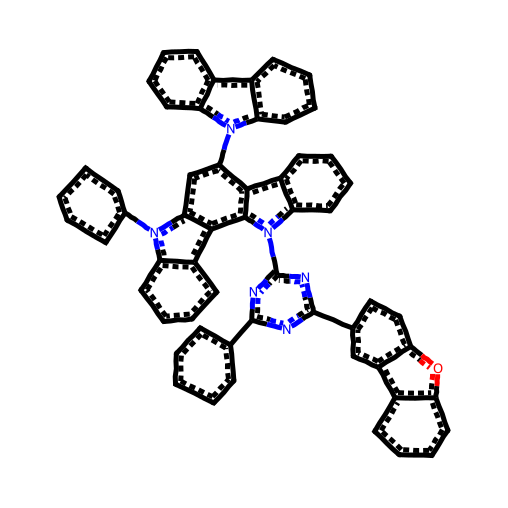 c1ccc(-c2nc(-c3ccc4oc5ccccc5c4c3)nc(-n3c4ccccc4c4c(-n5c6ccccc6c6ccccc65)cc5c(c6ccccc6n5-c5ccccc5)c43)n2)cc1